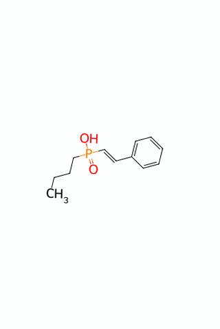 CCCCP(=O)(O)/C=C/c1ccccc1